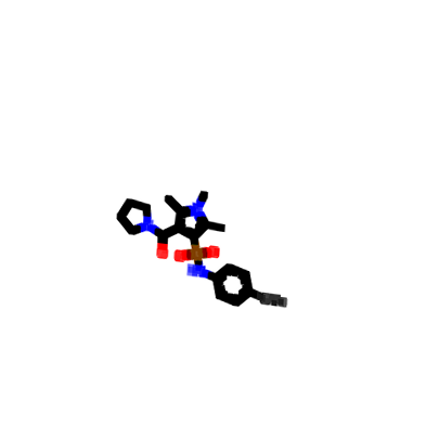 COc1ccc(NS(=O)(=O)c2c(C(=O)N3CCCC3)c(C)n(C)c2C)cc1